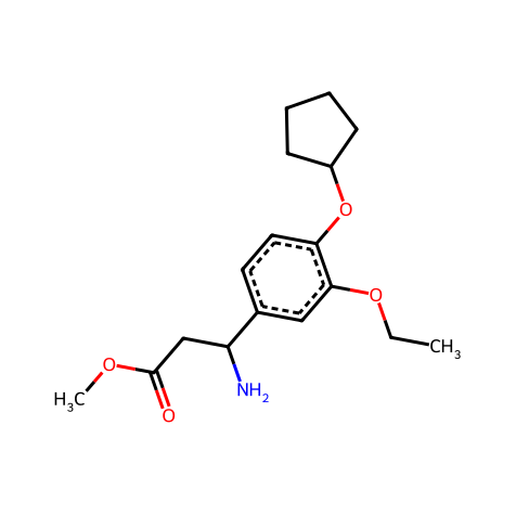 CCOc1cc(C(N)CC(=O)OC)ccc1OC1CCCC1